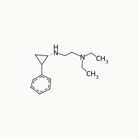 CCN(CC)CCN[C@H]1CC1c1ccccc1